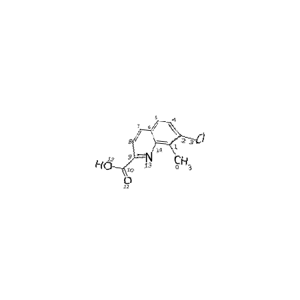 Cc1c(Cl)ccc2ccc(C(=O)O)nc12